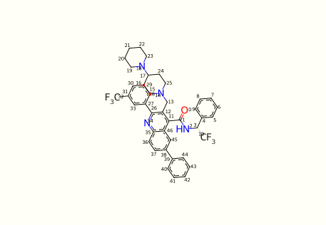 O=C(N[C@H](c1ccccc1)C(F)(F)F)c1c(CN2CCC(N3CCCCC3)CC2)c(-c2cccc(C(F)(F)F)c2)nc2ccc(-c3ccccc3)cc12